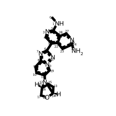 CNc1ncc(-c2nc3ccc(N4C[C@H]5C[C@@H]4CO5)cn3n2)c2cc(N)ncc12